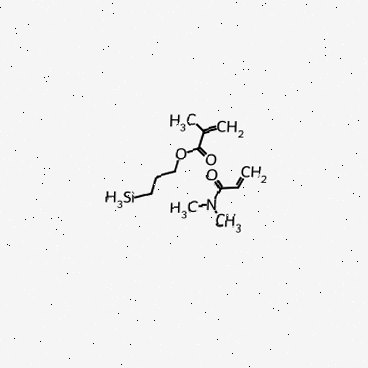 C=C(C)C(=O)OCCC[SiH3].C=CC(=O)N(C)C